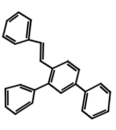 [c]1cc(-c2ccccc2)cc(-c2ccccc2)c1C=Cc1ccccc1